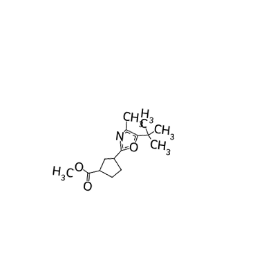 COC(=O)C1CCC(c2nc(C)c(C(C)(C)C)o2)C1